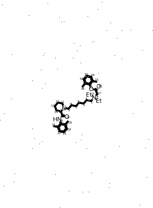 CC[N+](CC)(CCCCCCCN1CCCCC1C(=O)Nc1c(C)cccc1C)CC(=O)Oc1c(C)cccc1C